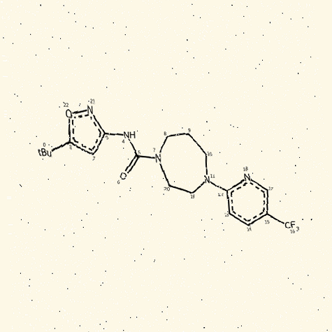 CC(C)(C)c1cc(NC(=O)N2CCCN(c3ccc(C(F)(F)F)cn3)CC2)no1